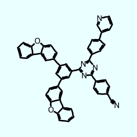 N#Cc1ccc(-c2nc(-c3ccc(-c4cccnc4)cc3)nc(-c3cc(-c4ccc5oc6ccccc6c5c4)cc(-c4ccc5oc6ccccc6c5c4)c3)n2)cc1